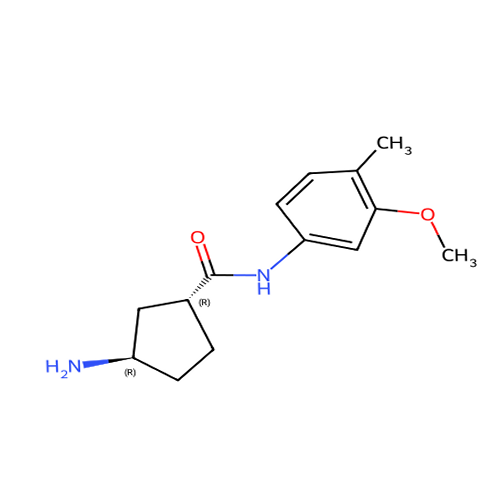 COc1cc(NC(=O)[C@@H]2CC[C@@H](N)C2)ccc1C